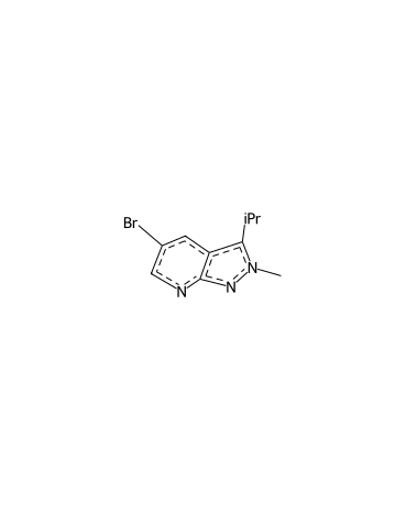 CC(C)c1c2cc(Br)cnc2nn1C